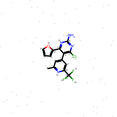 Cc1cc(-c2c(Cl)nc(N)nc2-c2ccco2)cc(C(F)(F)F)n1